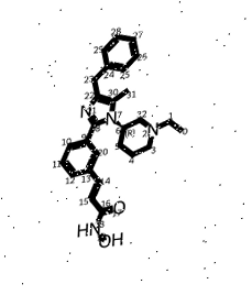 CCN1CCC[C@@H](n2c(-c3cccc(C=CC(=O)NO)c3)nc(Cc3ccccc3)c2C)C1